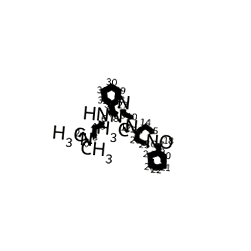 CN(C)CCCNc1nc(CN(C)C2CCN(C(=O)c3ccccc3)CC2)nc2ccccc12